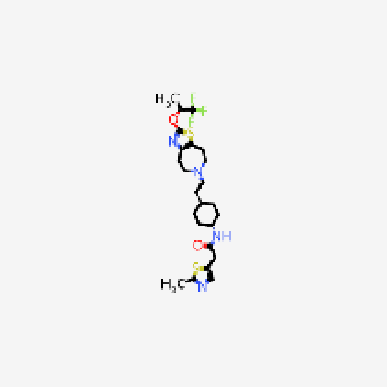 Cc1ncc(CC(=O)N[C@H]2CC[C@H](CCN3CCc4nc(OC(C)C(F)(F)F)sc4CC3)CC2)s1